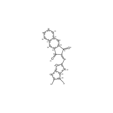 Cc1nc2oc(C=C3C(=O)c4cc5ccccc5cc4C3=O)nc2n1C